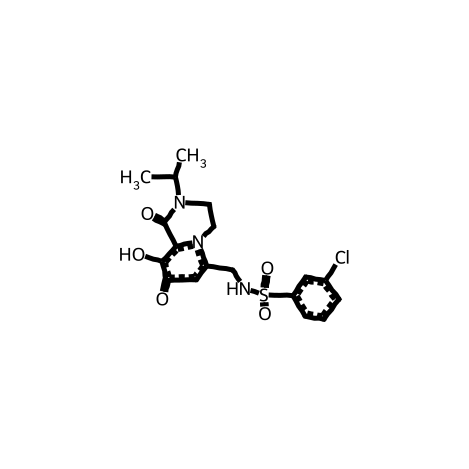 CC(C)N1CCn2c(CNS(=O)(=O)c3cccc(Cl)c3)cc(=O)c(O)c2C1=O